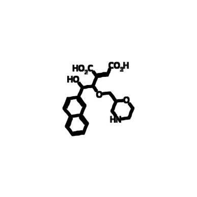 O=C(O)/C=C(\C(=O)O)C(OCC1CNCCO1)C(O)c1ccc2ccccc2c1